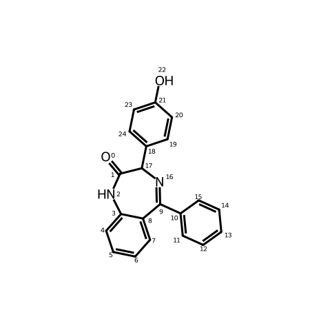 O=C1Nc2ccccc2C(c2ccccc2)=NC1c1ccc(O)cc1